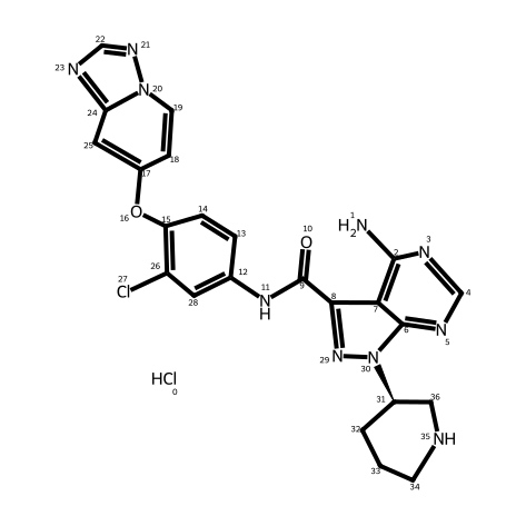 Cl.Nc1ncnc2c1c(C(=O)Nc1ccc(Oc3ccn4ncnc4c3)c(Cl)c1)nn2[C@@H]1CCCNC1